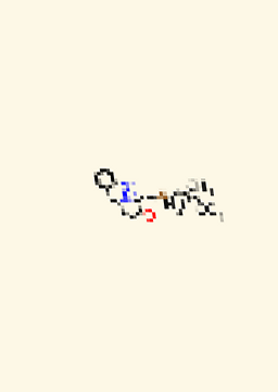 CC(C)(CCSCCC1C(=O)CCC(Cc2ccccc2)[N+]1=[N-])CC(=O)O